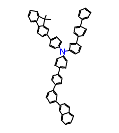 CC1(C)c2ccccc2-c2ccc(-c3ccc(N(c4ccc(-c5ccc(-c6cccc(-c7ccc8ccccc8c7)c6)cc5)cc4)c4cccc(-c5ccc(-c6ccccc6)cc5)c4)cc3)cc21